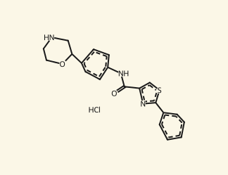 Cl.O=C(Nc1ccc(C2CNCCO2)cc1)c1csc(-c2ccccc2)n1